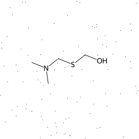 CN(C)CSCO